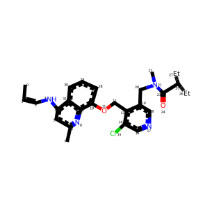 C/C=C\Nc1cc(C)nc2c(OCc3c(Cl)cncc3CN(C)C(=O)C(CC)CC)cccc12